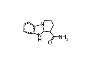 NC(=O)C1CCCN2c3ccccc3NC12